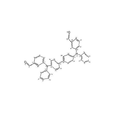 O=Cc1cccc(N(c2ccccc2)c2ccc(-c3ccc(N(c4ccccc4)c4cccc(C=O)c4)cc3)cc2)c1